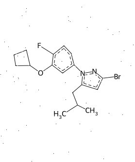 CC(C)Cc1cc(Br)nn1-c1ccc(F)c(OC2CCC2)c1